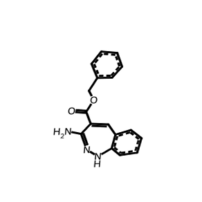 NC1=NNc2ccccc2C=C1C(=O)OCc1ccccc1